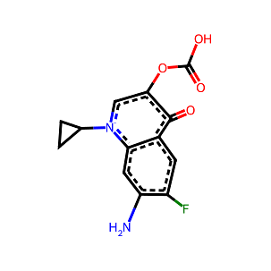 Nc1cc2c(cc1F)c(=O)c(OC(=O)O)cn2C1CC1